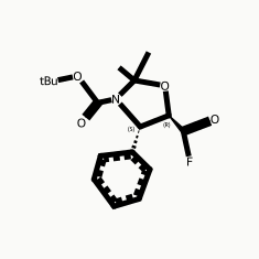 CC(C)(C)OC(=O)N1[C@@H](c2ccccc2)[C@H](C(=O)F)OC1(C)C